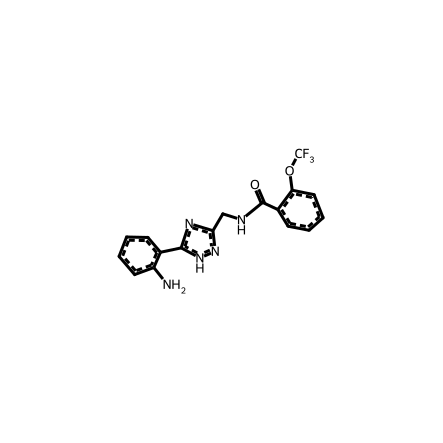 Nc1ccccc1-c1nc(CNC(=O)c2ccccc2OC(F)(F)F)n[nH]1